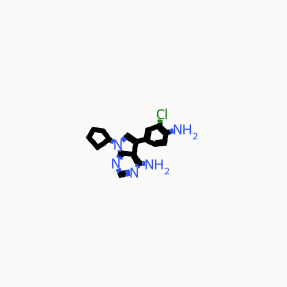 Nc1ccc(-c2cn(C3CCCC3)c3ncnc(N)c23)cc1Cl